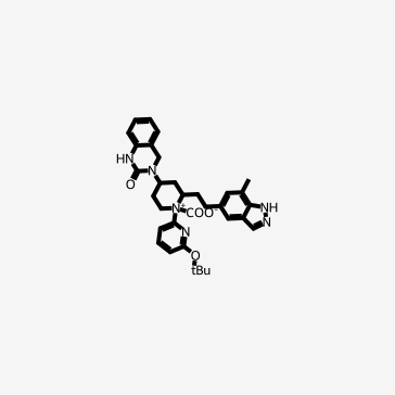 Cc1cc(CCC2CC(N3Cc4ccccc4NC3=O)CC[N+]2(C(=O)[O-])c2cccc(OC(C)(C)C)n2)cc2cn[nH]c12